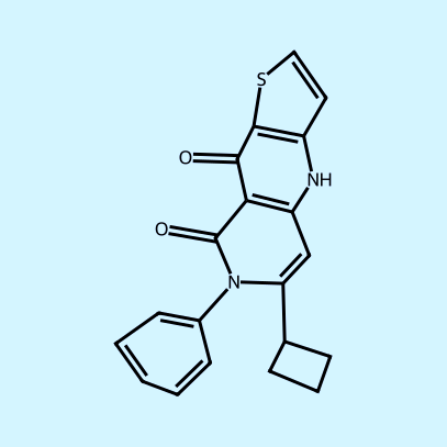 O=c1c2sccc2[nH]c2cc(C3CCC3)n(-c3ccccc3)c(=O)c12